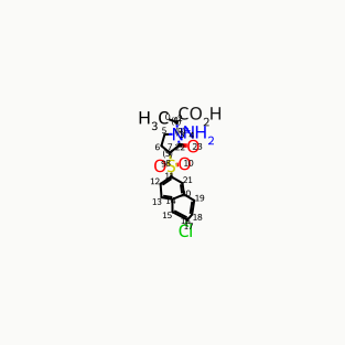 C[C@@H](C(=O)O)[N@+]1(N)CC[C@H](S(=O)(=O)c2ccc3cc(Cl)ccc3c2)C1=O